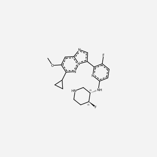 COc1cc2ncc(-c3nc(N[C@H]4CNCC[C@@H]4F)ccc3F)n2nc1C1CC1